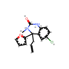 C=CCC1(c2ccco2)c2cc(Cl)ccc2NC(=O)N1C